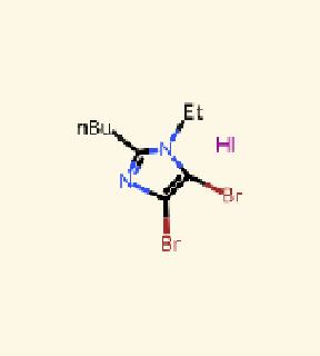 CCCCc1nc(Br)c(Br)n1CC.I